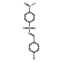 O=[N+]([O-])c1ccc(S(=O)(=O)N=Cc2ccc(Br)cc2)cc1